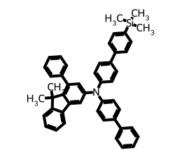 CC1(C)c2ccccc2-c2cc(N(c3ccc(-c4ccccc4)cc3)c3ccc(-c4ccc([Si](C)(C)C)cc4)cc3)cc(-c3ccccc3)c21